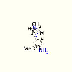 COc1cc(N2C[C@@H]3C[C@H]2CN3C)ccc1N